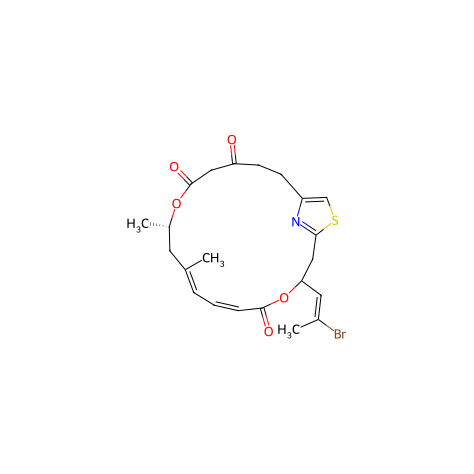 C/C(Br)=C\C1Cc2nc(cs2)CCC(=O)CC(=O)O[C@@H](C)C/C(C)=C/C=C\C(=O)O1